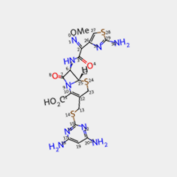 CON=C(C(=O)N[C@@H]1C(=O)N2C(C(=O)O)=C(CSc3nc(N)cc(N)n3)CS[C@@H]12)c1csc(N)n1